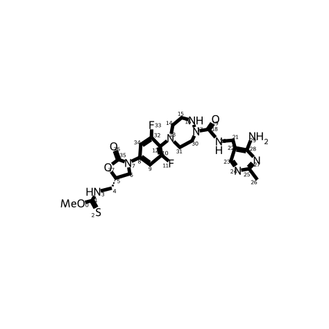 COC(=S)NC[C@H]1CN(c2cc(F)c(N3CCNN(C(=O)NCc4cnc(C)nc4N)CC3)c(F)c2)C(=O)O1